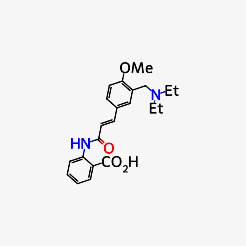 CCN(CC)Cc1cc(/C=C/C(=O)Nc2ccccc2C(=O)O)ccc1OC